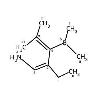 CC/C(=C/N)C(B(C)C)=C(C)C